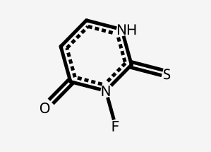 O=c1cc[nH]c(=S)n1F